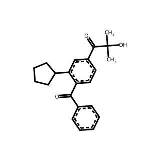 CC(C)(O)C(=O)c1ccc(C(=O)c2ccccc2)c(C2CCCC2)c1